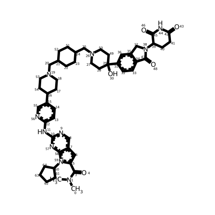 CN(C)C(=O)c1cc2cnc(Nc3ccc(C4CCN(CC5CCC(CN6CCC(O)(c7ccc8c(c7)CN(C7CCC(=O)NC7=O)C8=O)CC6)CC5)CC4)cn3)nc2n1C1CCCC1